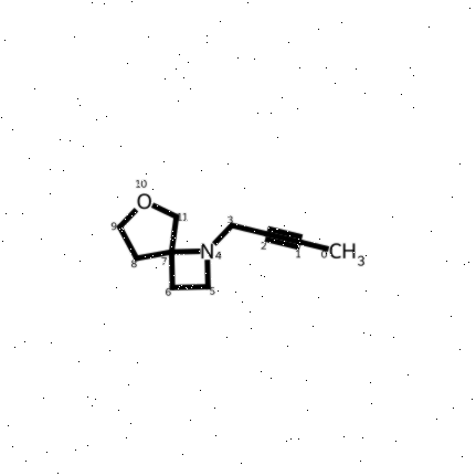 CC#CCN1CCC12CCOC2